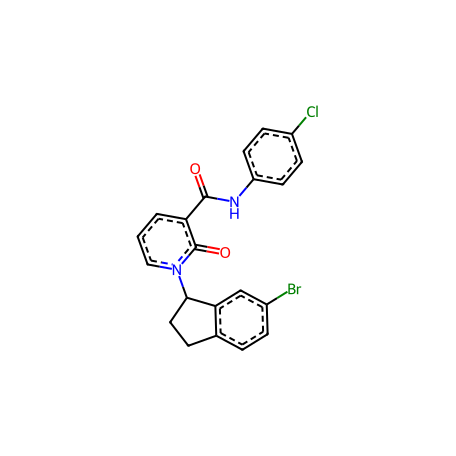 O=C(Nc1ccc(Cl)cc1)c1cccn(C2CCc3ccc(Br)cc32)c1=O